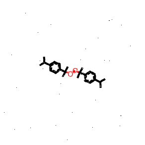 CC(C)c1ccc(C(C)(C)OOC(C)(C)c2ccc(C(C)C)cc2)cc1